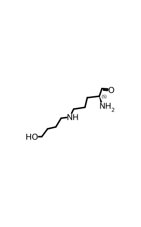 N[C@H](C=O)CCCNCCCCO